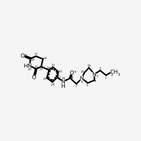 CCCN1CCN(CC(=O)Nc2ccc(C3CCC(=O)NC3=O)cc2)CC1